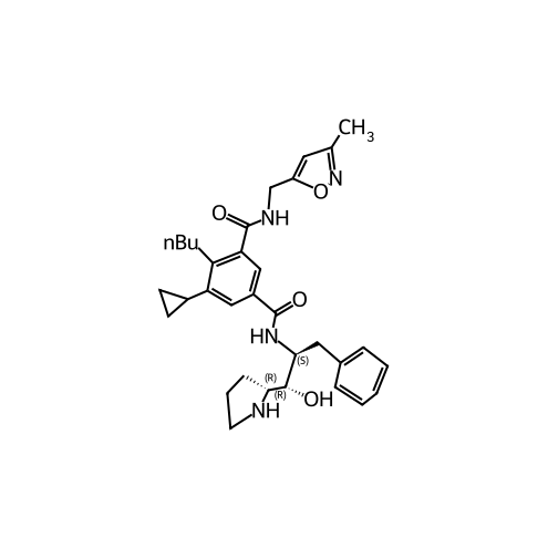 CCCCc1c(C(=O)NCc2cc(C)no2)cc(C(=O)N[C@@H](Cc2ccccc2)[C@H](O)[C@H]2CCCN2)cc1C1CC1